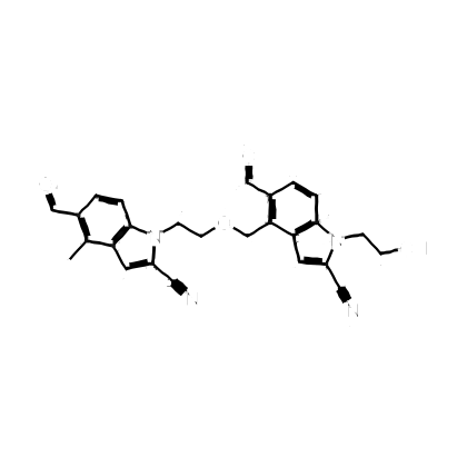 Cc1c(C=O)ccc2c1cc(C#N)n2CCOCc1c(C=O)ccc2c1cc(C#N)n2CCO